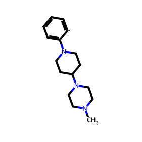 CN1CCN(C2CCN(c3[c]cccc3)CC2)CC1